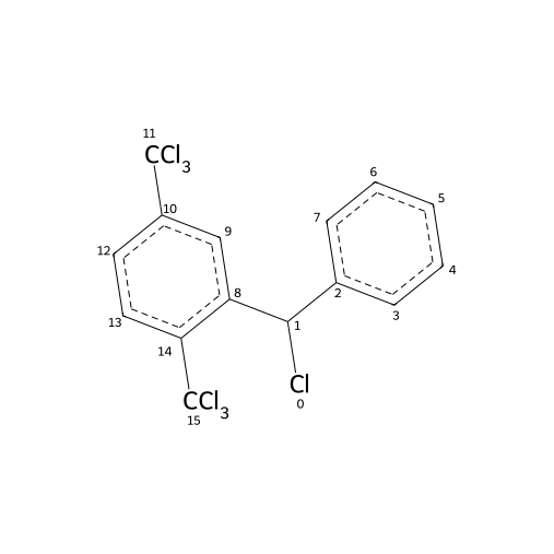 ClC(c1ccccc1)c1cc(C(Cl)(Cl)Cl)ccc1C(Cl)(Cl)Cl